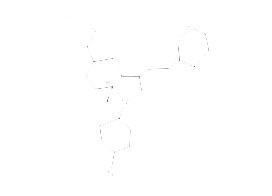 NC1CCC(N2CC(CCC3CCCCC3)C3CC(CCC(=O)O)CC[C@H]32)CC1